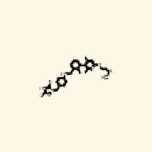 Cc1cc(OCC[C@H](C)O)nc(C)c1-c1cccc(CNc2ccc(Cn3oc(=O)[nH]c3=O)cc2)c1C